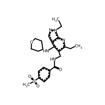 CCc1nc2c(cnn2CC)c(NC2CCOCC2)c1CNC(=O)c1ccc(S(C)(=O)=O)cc1